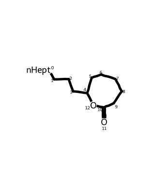 CCCCCCCCCCC1CCCCCC(=O)O1